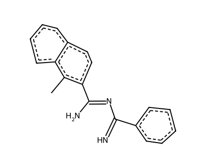 Cc1c(/C(N)=N/C(=N)c2ccccc2)ccc2ccccc12